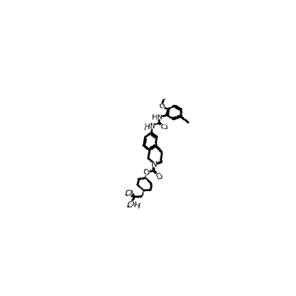 COc1ccc(C)cc1NC(=O)Nc1ccc2c(c1)CCN(C(=O)O[C@H]1CC[C@H](CC(=O)O)CC1)C2